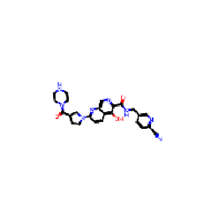 N#Cc1ccc(CNC(=O)c2ncc3nc(N4CCC(C(=O)N5CCNCC5)C4)ccc3c2O)cn1